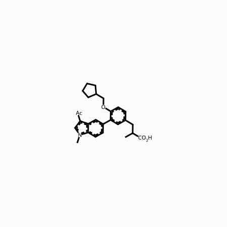 CC(=O)c1cn(C)c2ccc(-c3cc(CC(C)C(=O)O)ccc3OCC3CCCC3)cc12